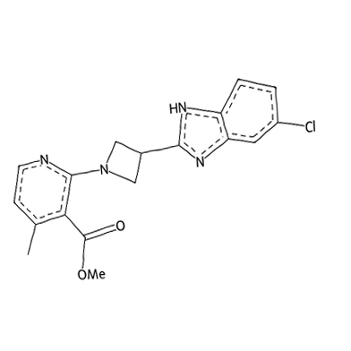 COC(=O)c1c(C)ccnc1N1CC(c2nc3cc(Cl)ccc3[nH]2)C1